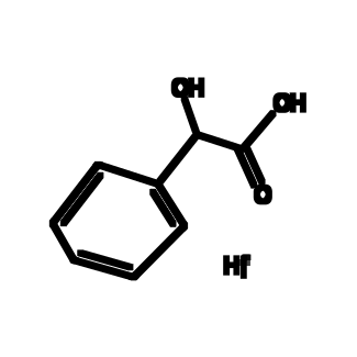 O=C(O)C(O)c1ccccc1.[Hf]